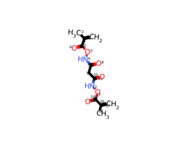 C=C(C)C(=O)ONC(=O)CC(=O)NOC(=O)C(=C)C